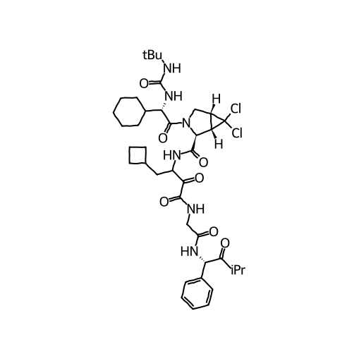 CC(C)C(=O)[C@@H](NC(=O)CNC(=O)C(=O)C(CC1CCC1)NC(=O)[C@@H]1[C@@H]2[C@H](CN1C(=O)[C@@H](NC(=O)NC(C)(C)C)C1CCCCC1)C2(Cl)Cl)c1ccccc1